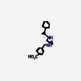 O=C(O)c1ccc(CNC2(CN[C@H]3CC3c3ccccc3)CC2)cc1